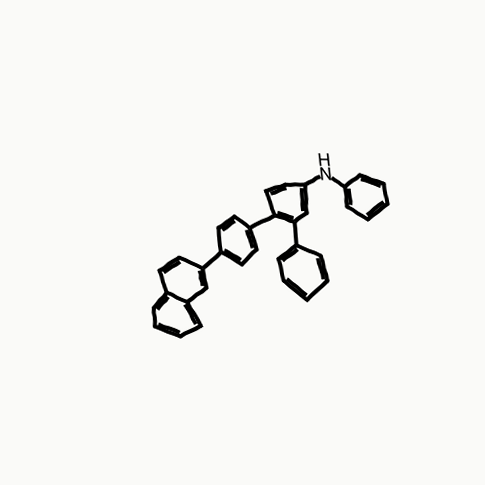 c1ccc(Nc2ccc(-c3ccc(-c4ccc5ccccc5c4)cc3)c(-c3ccccc3)c2)cc1